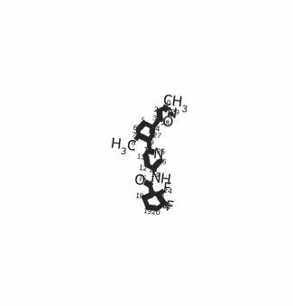 Cc1cc(-c2ccc(C)c(-c3ccc(NC(=O)c4cccc(F)c4F)cn3)c2)on1